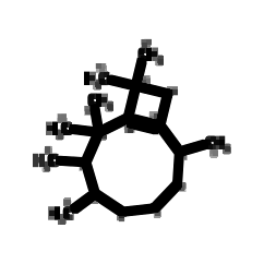 CC1CCCC(C)C(C)C(C)(C)C2=C1CC2(C)C